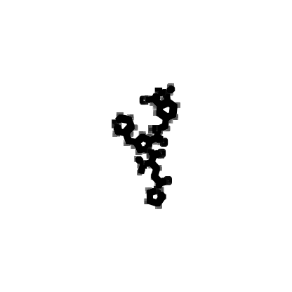 CN(C)C(CCC(=O)N1CCCC1)C(=O)N1CC(Cc2cccnc2)CC1C(=O)NCc1ccc2c(c1)c(Cl)nn2C